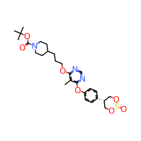 Cc1c(OCCCC2CCN(C(=O)OC(C)(C)C)CC2)ncnc1Oc1ccc([C@H]2CO[S@](=O)OC2)cc1